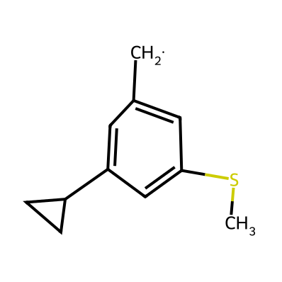 [CH2]c1cc(SC)cc(C2CC2)c1